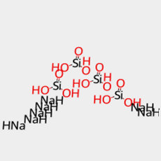 O=[Si](O)O.O=[Si](O)O.O=[Si](O)O.O=[Si](O)O.[NaH].[NaH].[NaH].[NaH].[NaH].[NaH].[NaH]